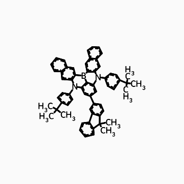 CC(C)(C)c1ccc(N2c3cc4ccccc4cc3B3c4cc5ccccc5cc4N(c4ccc(C(C)(C)C)cc4)c4cc(-c5ccc6c(c5)-c5ccccc5C6(C)C)cc2c43)cc1